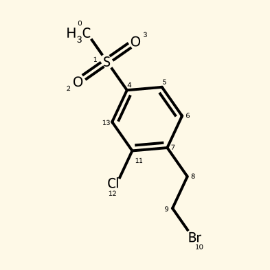 CS(=O)(=O)c1ccc(CCBr)c(Cl)c1